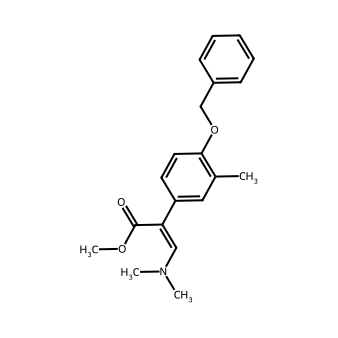 COC(=O)/C(=C\N(C)C)c1ccc(OCc2ccccc2)c(C)c1